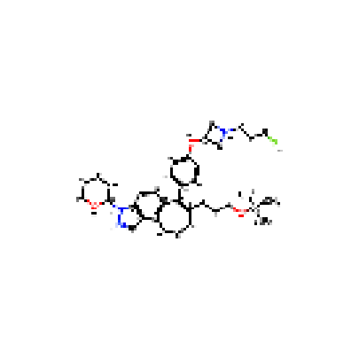 CC(C)(C)[Si](C)(C)OCCCC1=C(c2ccc(OC3CN(CCCF)C3)cc2)c2ccc3c(cnn3C3CCCCO3)c2CCC1